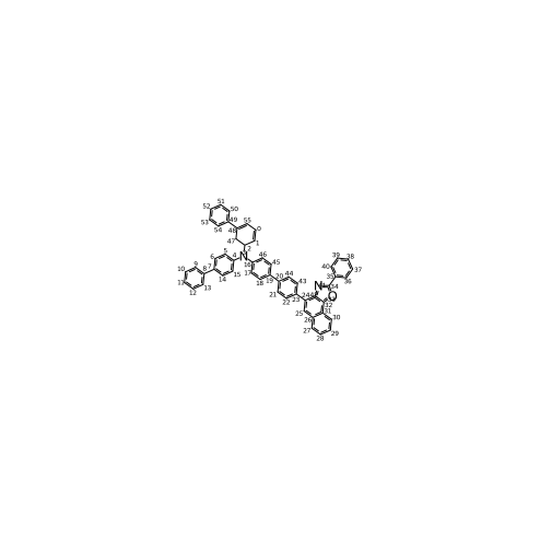 C1=CC(N(c2ccc(-c3ccccc3)cc2)c2ccc(-c3ccc(-c4cc5ccccc5c5oc(-c6ccccc6)nc45)cc3)cc2)CC(c2ccccc2)=C1